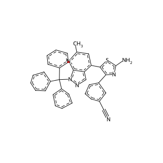 Cc1cc(-c2sc(N)nc2-c2cccc(C#N)c2)c2cnn(C(c3ccccc3)(c3ccccc3)c3ccccc3)c2n1